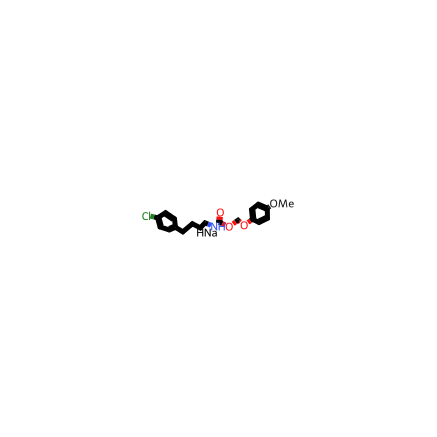 COc1ccc(OCOC(=O)NCCCCc2ccc(Cl)cc2)cc1.[NaH]